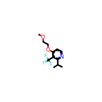 COCCOc1ccnc(C(C)C)c1C(F)(F)F